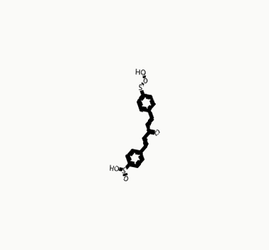 O=C(/C=C/c1ccc(SOO)cc1)/C=C/c1ccc(S(=O)O)cc1